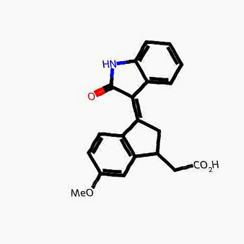 COc1ccc2c(c1)C(CC(=O)O)C/C2=C1/C(=O)Nc2ccccc21